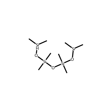 C[Si](C)O[Si](C)(C)O[Si](C)(C)O[SiH](C)C